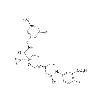 CC[C@H]1CN([C@@H]2CC[C@@](C(=O)NCc3cc(F)cc(C(F)(F)F)c3)(C3CC3)OC2)CCN1c1ccc(F)c(C(=O)O)c1